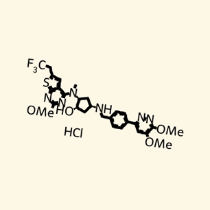 COc1nc(N(C)[C@H]2C[C@@H](NCc3ccc(-c4cc(OC)c(OC)nn4)cc3)C[C@H]2O)c2cc(CC(F)(F)F)sc2n1.Cl